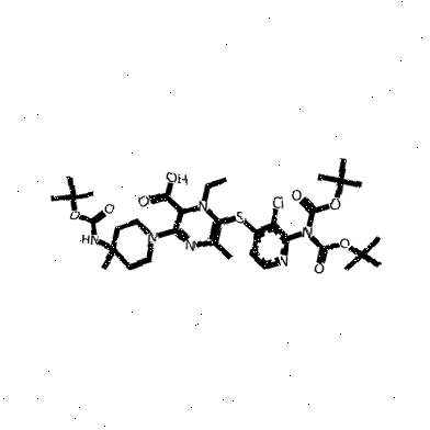 CCN1C(Sc2ccnc(N(C(=O)OC(C)(C)C)C(=O)OC(C)(C)C)c2Cl)=C(C)N=C(N2CCC(C)(NC(=O)OC(C)(C)C)CC2)C1C(=O)O